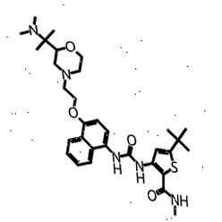 CNC(=O)c1sc(C(C)(C)C)cc1NC(=O)Nc1ccc(OCCN2CCOC(C(C)(C)N(C)C)C2)c2ccccc12